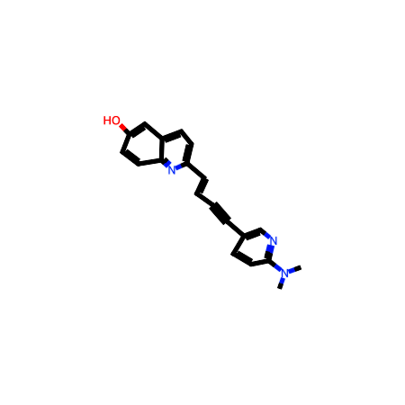 CN(C)c1ccc(C#CC=Cc2ccc3cc(O)ccc3n2)cn1